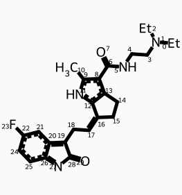 CCN(CC)CCNC(=O)c1c(C)[nH]c2c1CC/C2=C/CC1=c2cc(F)ccc2=NC1=O